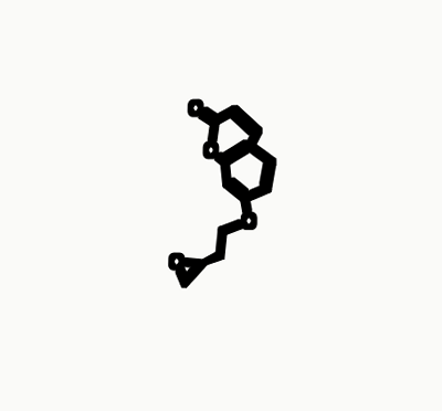 O=c1ccc2ccc(OCC[C@H]3CO3)cc2o1